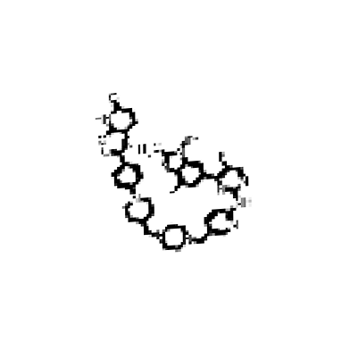 Cc1nc2c(F)cc(-c3nc(Nc4ccc(CN5CCN(CC6CCN(c7ccc(C(=O)NC8CCC(=O)NC8=O)cc7)CC6)CC5)cn4)ncc3F)cc2n1C(C)C